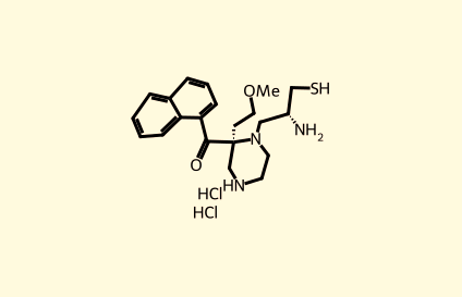 COCC[C@@]1(C(=O)c2cccc3ccccc23)CNCCN1C[C@@H](N)CS.Cl.Cl